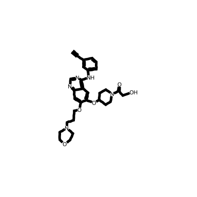 C#Cc1cccc(Nc2ncnc3cc(OCCCN4CCOCC4)c(OC4CCN(C(=O)CO)CC4)cc23)c1